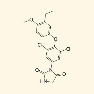 CCc1cc(Oc2c(Cl)cc(N3C(=O)CNC3=O)cc2Cl)ccc1OC